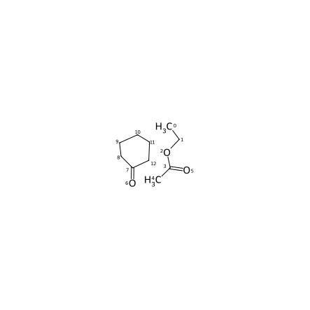 CCOC(C)=O.O=C1CCCCC1